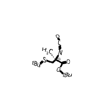 CC(C)(C)OC(=O)[C@@](C)(CSC(C)(C)C)N=C=O